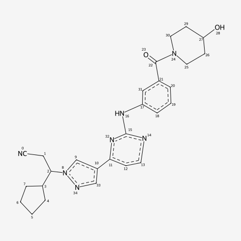 N#CCC(C1CCCC1)n1cc(-c2ccnc(Nc3cccc(C(=O)N4CCC(O)CC4)c3)n2)cn1